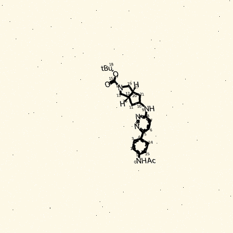 CC(=O)Nc1ccc(-c2ccc(NC3C[C@@H]4CN(C(=O)OC(C)(C)C)C[C@@H]4C3)nn2)cc1